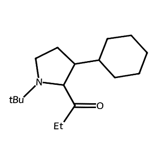 CCC(=O)C1C(C2CCCCC2)CCN1C(C)(C)C